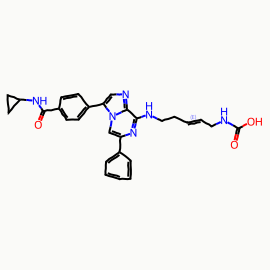 O=C(O)NC/C=C/CCNc1nc(-c2ccccc2)cn2c(-c3ccc(C(=O)NC4CC4)cc3)cnc12